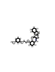 COc1cccc(OCCOc2cccc(/C=c3/sc4nc5ccccc5n4c3=O)c2)c1